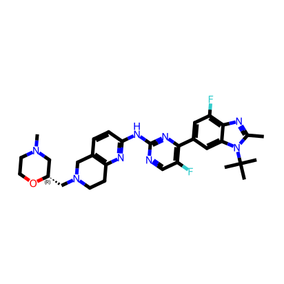 Cc1nc2c(F)cc(-c3nc(Nc4ccc5c(n4)CCN(C[C@H]4CN(C)CCO4)C5)ncc3F)cc2n1C(C)(C)C